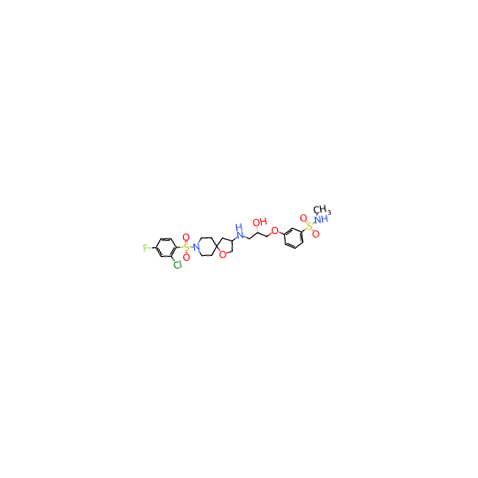 CNS(=O)(=O)c1cccc(OC[C@@H](O)CNC2COC3(CCN(S(=O)(=O)c4ccc(F)cc4Cl)CC3)C2)c1